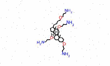 C[C@H](CCCOCCCN)C1CC[C@H]2C3[C@H](OCCCN)CC4C[C@H](OCCCN)CCC4(C)[C@H]3C[C@H](OCCCN)C12C